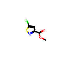 COC(=O)c1cc(Cl)sn1